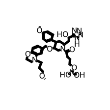 COCCCN1CCOc2ccc(COC3CN(C(=O)CCCON(O)O)C(CC(O)c4nnn[nH]4)CC3c3ccc(OC)cc3)cc21